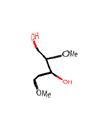 COCC(O)C(CO)OC